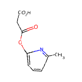 Cc1cccc(OC(=O)CC(=O)O)n1